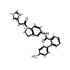 Cc1ccc(-c2ccccc2C(=O)Nc2ccc3c(c2)CCN3C(=O)Cc2cscn2)cc1